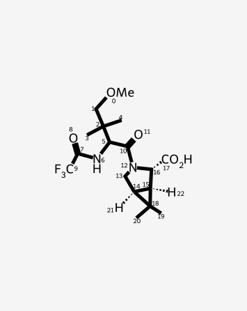 COCC(C)(C)C(NC(=O)C(F)(F)F)C(=O)N1C[C@H]2[C@@H]([C@H]1C(=O)O)C2(C)C